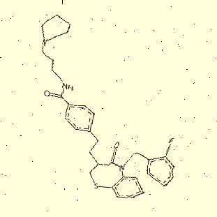 O=C(NCCCN1CCCC1)c1ccc(CCC2CSc3ccccc3N(Cc3ccccc3F)C2=O)cc1